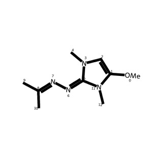 COc1cn(C)c(=NN=C(C)C)n1C